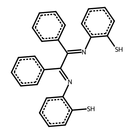 Sc1ccccc1N=C(C(=Nc1ccccc1S)c1ccccc1)c1ccccc1